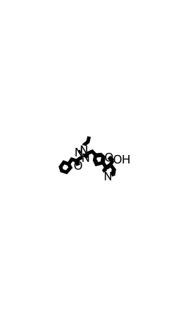 CCCn1nc(C(=O)CC2CCCCC2)nc1Cc1ccc(-c2cnccc2C(=O)O)cc1